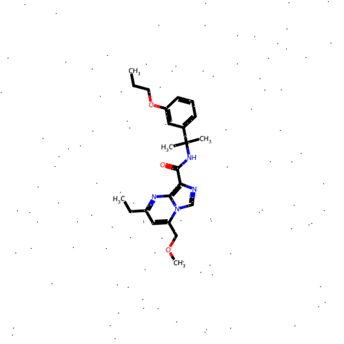 CCCOc1cccc(C(C)(C)NC(=O)c2ncn3c(COC)cc(CC)nc23)c1